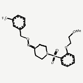 COCCOc1ccccc1S(=O)(=O)N1CCC(=NOCc2cccc(C(F)(F)F)c2)CC1